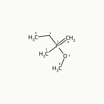 C=P(C)(CC)OC